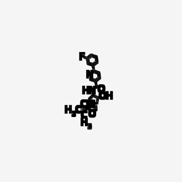 CC(C)(C)C(=O)N1CC(O)C(NC(=O)c2ccc(-c3cccc(F)c3)nc2)C1